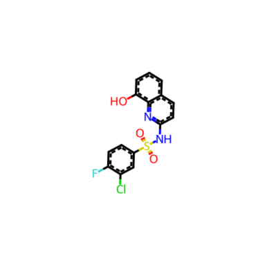 O=S(=O)(Nc1ccc2cccc(O)c2n1)c1ccc(F)c(Cl)c1